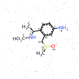 C[C@H](NC(=O)O)c1ccc(N)cc1C[S+](C)[O-]